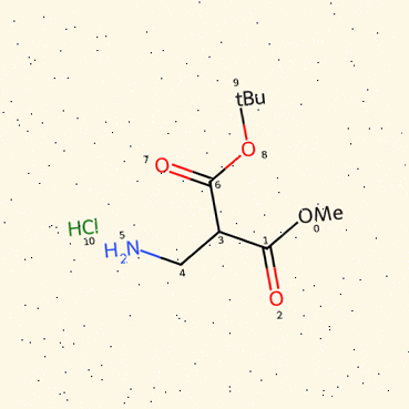 COC(=O)C(CN)C(=O)OC(C)(C)C.Cl